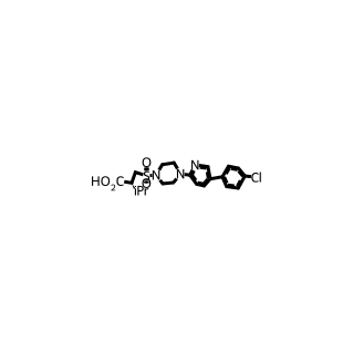 CC(C)[C@@H](CS(=O)(=O)N1CCN(c2ccc(-c3ccc(Cl)cc3)cn2)CC1)C(=O)O